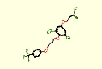 FC(Br)=CCOc1cc(Cl)c(OCCCOc2ccc(C(F)(F)F)cc2)c(Cl)c1